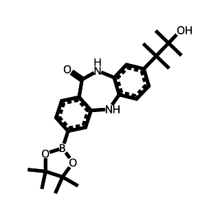 CC(C)(O)C(C)(C)c1ccc2c(c1)NC(=O)c1ccc(B3OC(C)(C)C(C)(C)O3)cc1N2